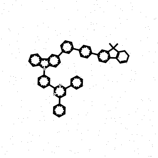 CC1(C)C2=C(C=CCC2)c2ccc(-c3ccc(-c4cccc(-c5ccc6c(c5)c5ccccc5n6-c5cccc(-c6nc(-c7ccccc7)cc(-c7ccccc7)n6)c5)c4)cc3)cc21